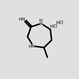 CC1CCNC(=N)CN1.Cl.Cl